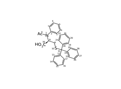 CC(=O)N(c1ccccc1)[C@@H](CSC(c1ccccc1)(c1ccccc1)c1ccccc1)C(=O)O